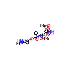 CCN1C=C(c2cccc(CCOCCC(=O)N(CCN(CCc3ccc(OC(=O)OC(C)(C)C)c4c3OCC(=O)N4)C(=O)OC(C)(C)C)C3CCCCC3)c2)NN1